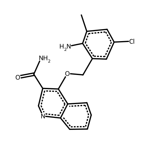 Cc1cc(Cl)cc(COc2c(C(N)=O)cnc3ccccc23)c1N